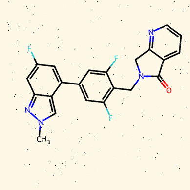 Cn1cc2c(-c3cc(F)c(CN4Cc5ncccc5C4=O)c(F)c3)cc(F)cc2n1